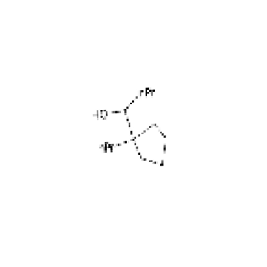 CCCC(O)C1(CCC)CCCC1